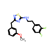 COc1cccc(Cc2nsc(NCCc3ccc(F)c(F)c3)n2)c1